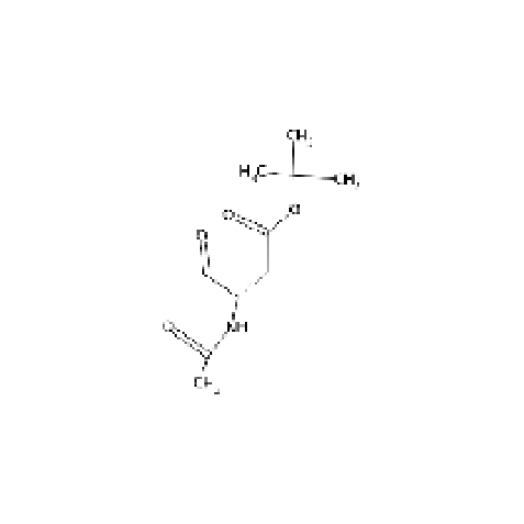 CC(=O)N[C@H](C=O)CC(=O)OC(C)(C)C